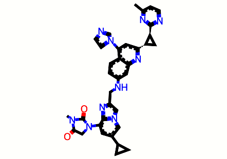 Cc1ccnc([C@H]2C[C@@H]2c2cc(-n3ccnc3)c3ccc(NCc4cn5cc(C6CC6)cc(N6CC(=O)N(C)C6=O)c5n4)cc3n2)n1